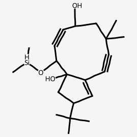 C[SiH](C)OC1C#CC(O)CC(C)(C)C#CC2=CC(C(C)(C)C)CC21O